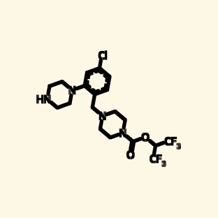 O=C(OC(C(F)(F)F)C(F)(F)F)N1CCN(Cc2ccc(Cl)cc2N2CCNCC2)CC1